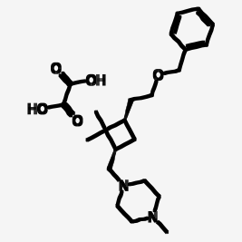 CN1CCN(C[C@@H]2C[C@H](CCOCc3ccccc3)C2(C)C)CC1.O=C(O)C(=O)O